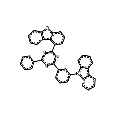 c1ccc(-c2nc(-c3cccc(-n4c5ccccc5c5ccccc54)c3)nc(-c3cccc4oc5ccccc5c34)n2)cc1